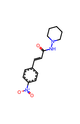 O=C(C=Cc1ccc([N+](=O)[O-])cc1)NN1CCCCC1